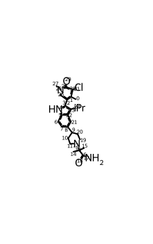 Cc1c(-c2[nH]c3ccc(C4CCN(C(C)(C)C(N)=O)CC4)cc3c2C(C)C)cn(C)c(=O)c1Cl